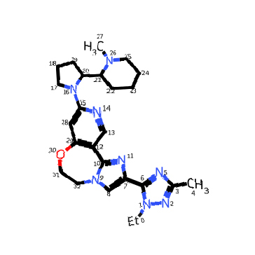 CCn1nc(C)nc1-c1cn2c(n1)-c1cnc(N3CCCC3C3CCCCN3C)cc1OCC2